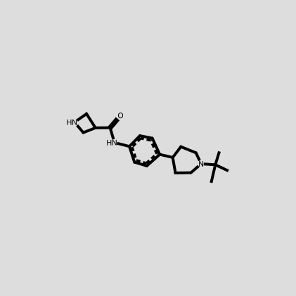 CC(C)(C)N1CCC(c2ccc(NC(=O)C3CNC3)cc2)CC1